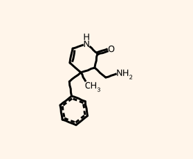 CC1(Cc2ccccc2)C=CNC(=O)C1CN